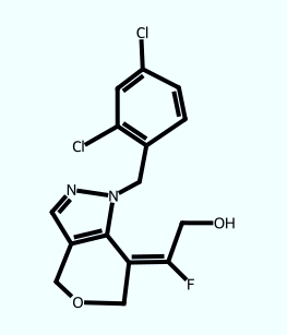 OC/C(F)=C1/COCc2cnn(Cc3ccc(Cl)cc3Cl)c21